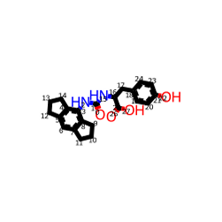 O=C(Nc1c2c(cc3c1CCC3)CCC2)NC(Cc1ccc(O)cc1)C(=O)O